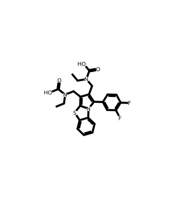 CCN(Cc1c(CN(CC)C(=O)O)c2sc3ccccc3n2c1-c1ccc(F)c(F)c1)C(=O)O